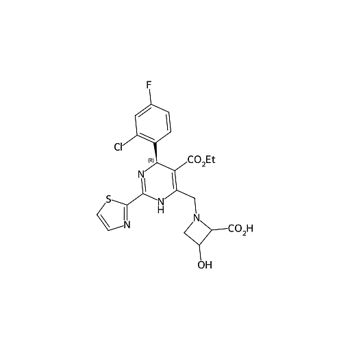 CCOC(=O)C1=C(CN2CC(O)C2C(=O)O)NC(c2nccs2)=N[C@H]1c1ccc(F)cc1Cl